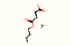 CCCCOC(=O)CCC(=O)[O-].[Na+]